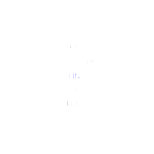 CC(C)C(=O)N[C@@H]1CCCC[C@@]1(C)O